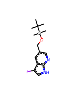 CC(C)(C)[Si](C)(C)OCc1cnc2[nH]cc(I)c2c1